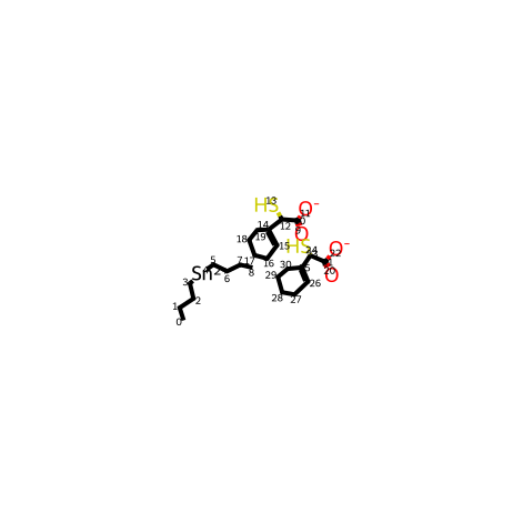 CCC[CH2][Sn+2][CH2]CCC.O=C([O-])C(S)C1=CCCCC1.O=C([O-])C(S)C1=CCCCC1